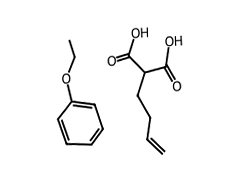 C=CCCC(C(=O)O)C(=O)O.CCOc1ccccc1